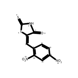 O=C1NC(=S)SC1=Cc1ccc([N+](=O)[O-])cc1[N+](=O)[O-]